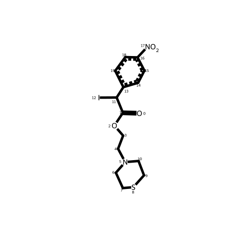 O=C(OCCN1CCSCC1)C(I)c1ccc([N+](=O)[O-])cc1